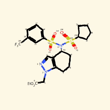 CCOC(=O)Cn1ncc2c1CCC[C@H]2N(S(=O)(=O)c1cccc(C(F)(F)F)c1)S(=O)(=O)C1CCCC1